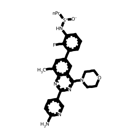 CCC[S+]([O-])Nc1cccc(-c2cc(C)c3nc(-c4ccc(N)nc4)nc(N4CCOCC4)c3c2)c1F